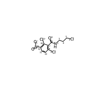 O=C(NCCCCl)c1c(Cl)ccc([N+](=O)[O-])c1Cl